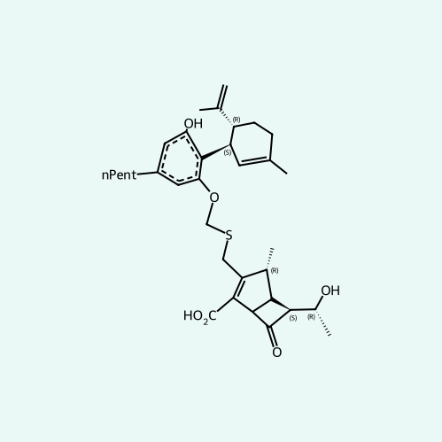 C=C(C)[C@@H]1CCC(C)=C[C@H]1c1c(O)cc(CCCCC)cc1OCSCC1=C(C(=O)O)C2C(=O)[C@H]([C@@H](C)O)C2[C@H]1C